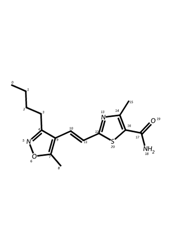 CCCCc1noc(C)c1C=Cc1nc(C)c(C(N)=O)s1